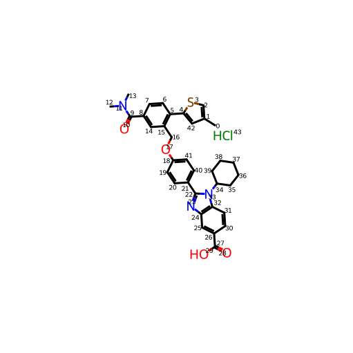 Cc1csc(-c2ccc(C(=O)N(C)C)cc2COc2ccc(-c3nc4cc(C(=O)O)ccc4n3C3CCCCC3)cc2)c1.Cl